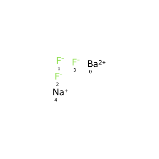 [Ba+2].[F-].[F-].[F-].[Na+]